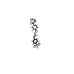 CC(C)(C)OC(=O)N1CCC(OC/C=C/c2ccc(S(C)(=O)=O)cc2)CC1